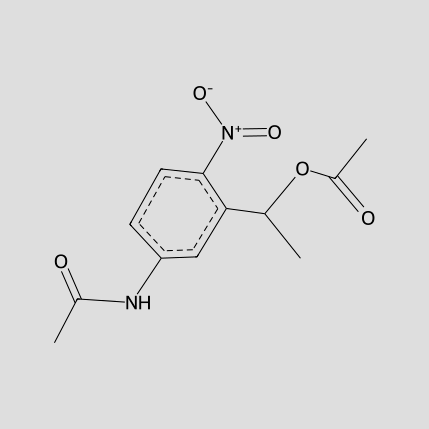 CC(=O)Nc1ccc([N+](=O)[O-])c(C(C)OC(C)=O)c1